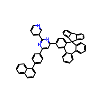 c1cncc(-c2nc(-c3ccc(-c4cccc5ccccc45)cc3)cc(-c3ccc4c(c3)-c3ccccc3-c3ccccc3C43c4ccccc4-c4ccccc43)n2)c1